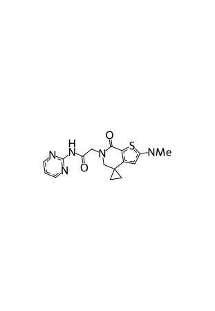 CNc1cc2c(s1)C(=O)N(CC(=O)Nc1ncccn1)CC21CC1